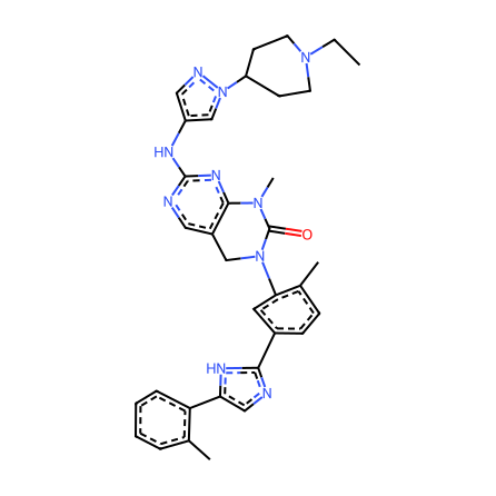 CCN1CCC(n2cc(Nc3ncc4c(n3)N(C)C(=O)N(c3cc(-c5ncc(-c6ccccc6C)[nH]5)ccc3C)C4)cn2)CC1